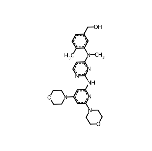 Cc1ccc(CO)cc1N(C)c1ccnc(Nc2cc(N3CCOCC3)cc(N3CCOCC3)n2)n1